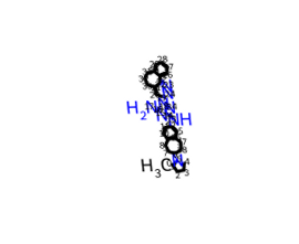 CC1CCCN1C1CCc2ccc(Nc3nc(N)n(-c4cc5c(nn4)-c4ccccc4CCC5)n3)cc2CC1